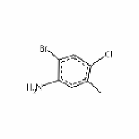 Cc1cc(N)c(Br)cc1Cl